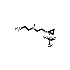 C1CC1.NCCNCCN.O=[PH](O)O